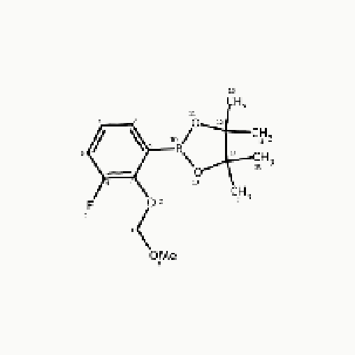 COCOc1c(F)cccc1B1OC(C)(C)C(C)(C)O1